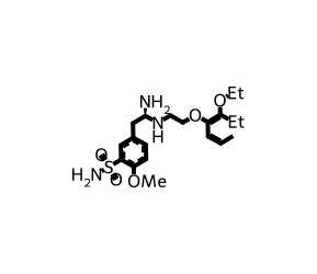 C/C=C\C(OCCN[C@H](N)Cc1ccc(OC)c(S(N)(=O)=O)c1)=C(/CC)OCC